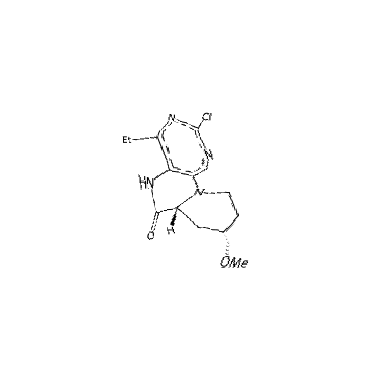 CCc1nc(Cl)nc2c1NC(=O)[C@H]1C[C@@H](OC)CCN21